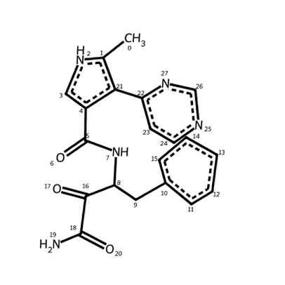 Cc1[nH]cc(C(=O)NC(Cc2ccccc2)C(=O)C(N)=O)c1-c1ccncn1